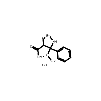 CCCOC(NC(C)C)(c1ccccc1)C(O)C(=O)OC.Cl